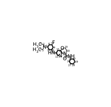 CCN(CC)c1cc(F)cc(Nc2cnc3c(c2)OCCN3C(=O)Nc2ccccc2)c1